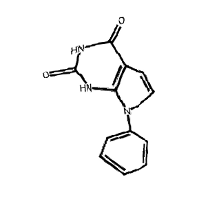 O=c1[nH]c(=O)c2ccn(-c3ccccc3)c2[nH]1